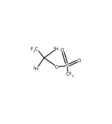 [2H]C([2H])(OS(=O)(=O)C(F)(F)F)C(F)(F)F